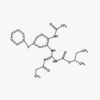 CCC(=O)N=C(NC(=O)OC(C)CC)Nc1cc(Sc2ccccc2)ccc1NC(C)=O